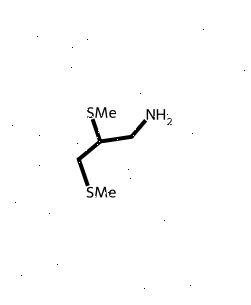 CSCC(CN)SC